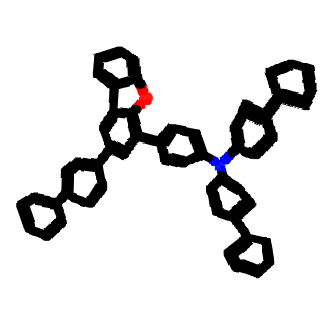 c1ccc(-c2ccc(-c3cc(-c4ccc(N(c5ccc(-c6ccccc6)cc5)c5ccc(-c6ccccc6)cc5)cc4)c4oc5ccccc5c4c3)cc2)cc1